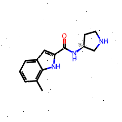 Cc1cccc2cc(C(=O)N[C@H]3CCNC3)[nH]c12